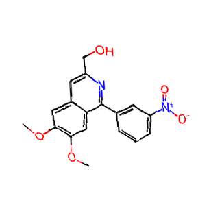 COc1cc2cc(CO)nc(-c3cccc([N+](=O)[O-])c3)c2cc1OC